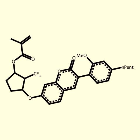 C=C(C)C(=O)OC1CCC(Oc2ccc3cc(-c4ccc(CCCCC)cc4OC)c(=O)oc3c2)C1C(F)(F)F